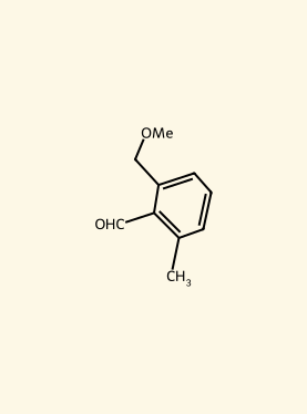 COCc1cccc(C)c1C=O